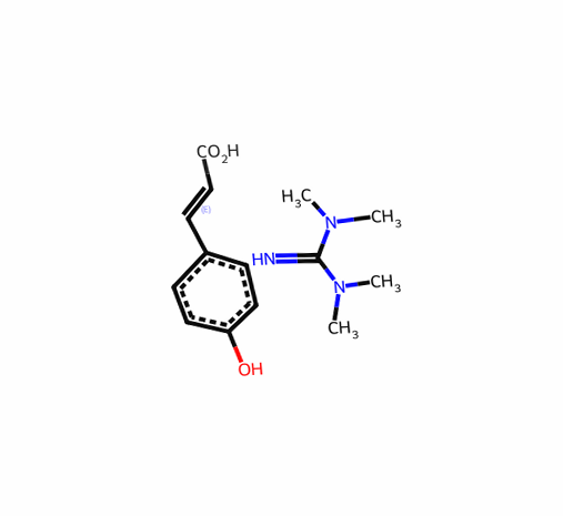 CN(C)C(=N)N(C)C.O=C(O)/C=C/c1ccc(O)cc1